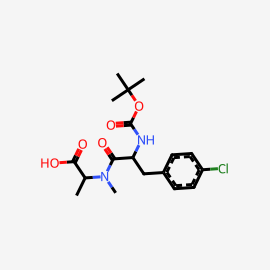 CC(C(=O)O)N(C)C(=O)C(Cc1ccc(Cl)cc1)NC(=O)OC(C)(C)C